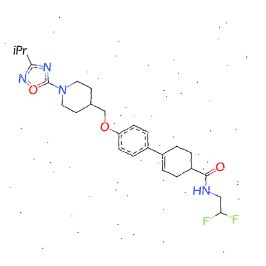 CC(C)c1noc(N2CCC(COc3ccc(C4=CCC(C(=O)NCC(F)F)CC4)cc3)CC2)n1